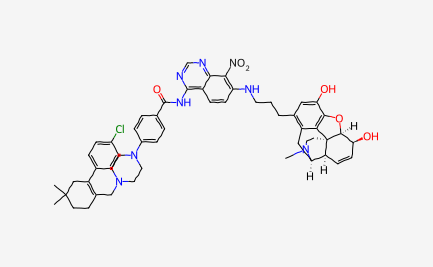 CN1CC[C@]23c4c5c(CCCNc6ccc7c(NC(=O)c8ccc(N9CCN(CC%10=C(c%11ccc(Cl)cc%11)CC(C)(C)CC%10)CC9)cc8)ncnc7c6[N+](=O)[O-])cc(O)c4O[C@H]2[C@@H](O)C=C[C@H]3[C@H]1C5